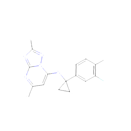 CCc1nc2nc(C)cc(NC3(c4ccc(C(F)(F)F)c(F)c4)CC3)n2n1